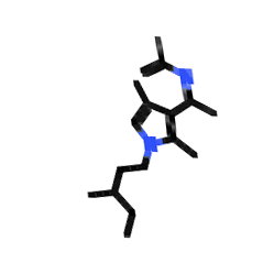 C=C(C)/N=C(/C)c1c(C)cn(CCC(C)CC)c1C